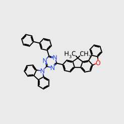 CC1(C)c2cc(-c3nc(-c4cccc(-c5ccccc5)c4)nc(-n4c5ccccc5c5ccccc54)n3)ccc2-c2ccc3oc4ccccc4c3c21